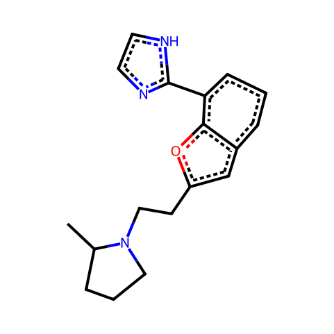 CC1CCCN1CCc1cc2cccc(-c3ncc[nH]3)c2o1